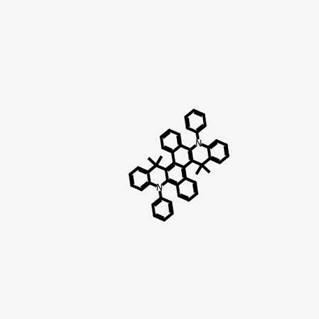 CC1(C)c2ccccc2N(c2ccccc2)c2c1c1c3ccccc3c3c(c1c1ccccc21)C(C)(C)c1ccccc1N3c1ccccc1